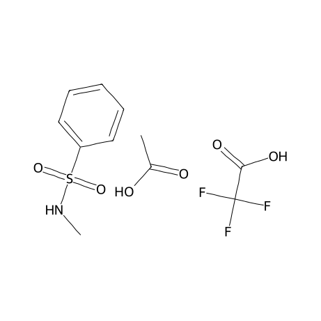 CC(=O)O.CNS(=O)(=O)c1ccccc1.O=C(O)C(F)(F)F